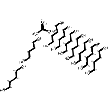 C=C(C)C(=O)O.OCCCCO.OCCCCO.OCCCCO.OCCCCO.OCCCCO.OCCCCO.OCCCCO.OCCCCO.OCCCCO